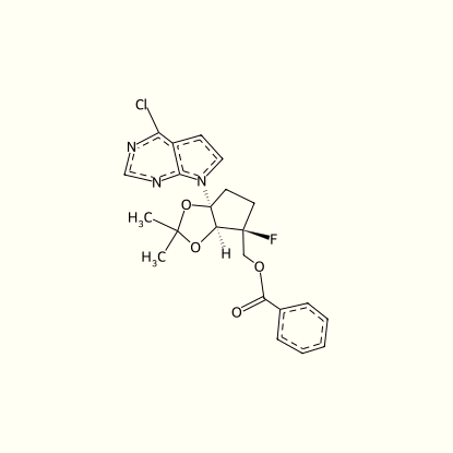 CC1(C)O[C@@H]2[C@@](F)(COC(=O)c3ccccc3)CC[C@]2(n2ccc3c(Cl)ncnc32)O1